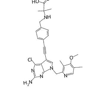 COc1c(C)cnc(Cn2cc(C#Cc3ccc(CNC(C)(C)C(=O)O)cc3)c3c(Cl)nc(N)nc32)c1C